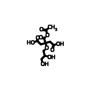 CC(=O)OC(=O)C(CC(=O)O)(CC(=O)O)OCC(O)CO